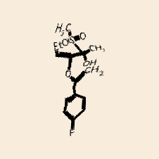 C=C(OC(=CCC)C(C)(O)S(C)(=O)=O)c1ccc(F)cc1